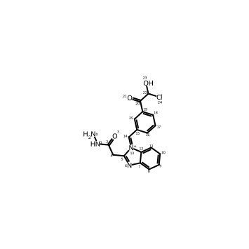 NNC(=O)CC1=Nc2ccccc2[N+]1=Cc1cccc(C(=O)C(O)Cl)c1